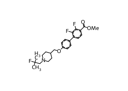 COC(=O)c1ccc(-c2ccc(OCC3CCN(CC(C)(C)F)CC3)cc2)c(F)c1F